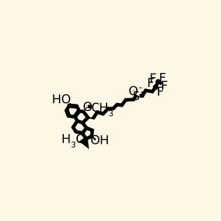 CO[C@H]1c2cc(O)ccc2C2CC[C@@]3(C)C(C[C@@H](O)C34CC4)C2[C@@H]1CCCCCCCCC[S+]([O-])CCCC(F)(F)C(F)(F)F